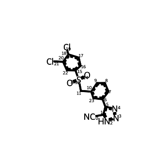 N#Cc1[nH]nnc1-c1cccc(CS(=O)(=O)c2ccc(Cl)c(Cl)c2)c1